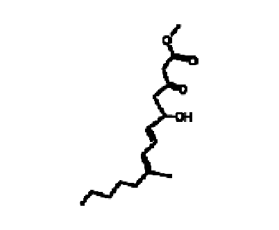 CCCCCC(C)=CC=CC(O)CC(=O)CC(=O)OC